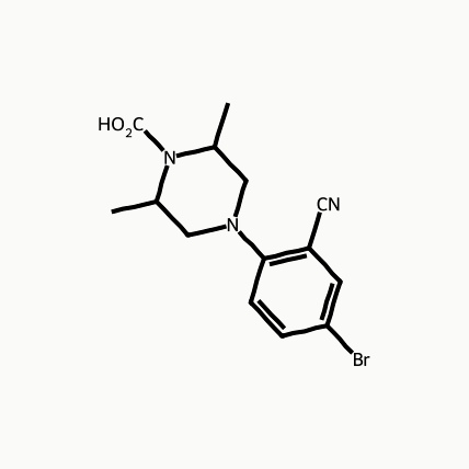 CC1CN(c2ccc(Br)cc2C#N)CC(C)N1C(=O)O